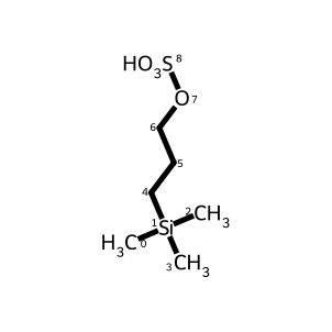 C[Si](C)(C)CCCOS(=O)(=O)O